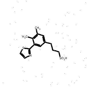 Cc1cc(CCCS(=O)(=O)O)cc(-c2nccs2)c1C